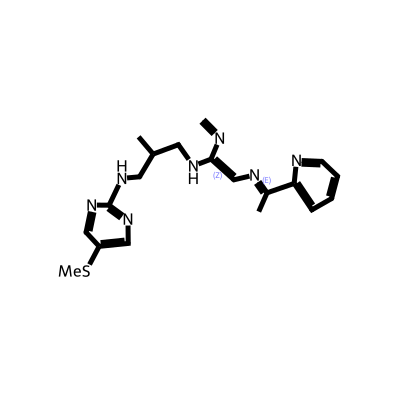 C=N/C(=C\N=C(/C)c1ccccn1)NCC(C)CNc1ncc(SC)cn1